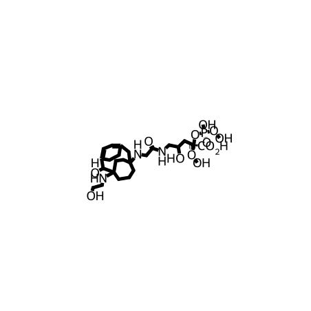 O=C(CNC12CCCC(NCCO)(CC1)C(O)C1=CC=C(CC1)C2)NCC(O)C[C@@](OO)(OP(=O)(O)OO)C(=O)O